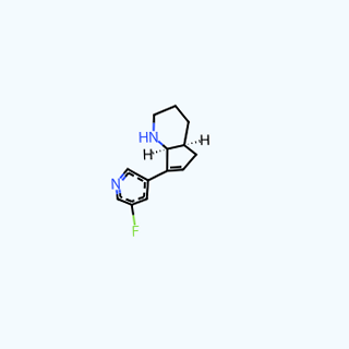 Fc1cncc(C2=CC[C@@H]3CCCN[C@H]23)c1